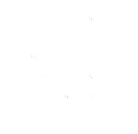 CC[C@@H](NC(=O)Oc1cc(C(=O)N2CCC[C@@H]2C)n2c1COCC2)c1ccc(C#N)cc1